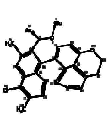 CC(=O)[C@@H](OC(C)(C)C)c1c(C)cc2c(Cl)c(C)ccc2c1-c1ccc2c3c(ccnc13)CCO2